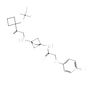 O=C(COc1ccc(Cl)cc1)NC12CC(NCC(=O)C3(OC(F)(F)F)CCC3)(C1)C2